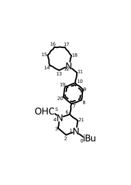 CCC(C)N1CCN(C=O)C(c2ccc(CN3CCCCCC3)cc2)C1